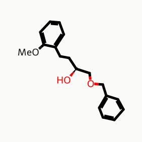 COc1ccccc1CC[C@H](O)COCc1ccccc1